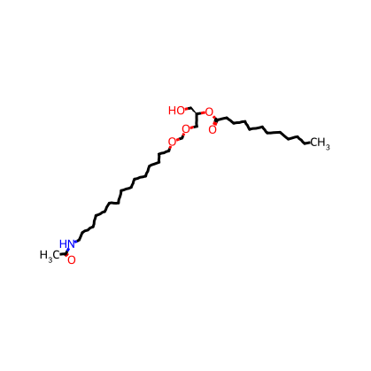 CCCCCCCCCCCC(=O)O[C@H](CO)COCOCCCCCCCCCCCCCCCNC(C)=O